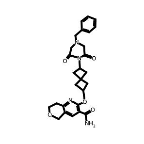 NC(=O)c1cc2c(nc1OC1CC3(C1)CC(N1C(=O)CN(Cc4ccccc4)CC1=O)C3)CCOC2